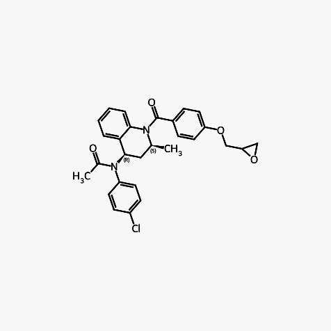 CC(=O)N(c1ccc(Cl)cc1)[C@@H]1C[C@H](C)N(C(=O)c2ccc(OCC3CO3)cc2)c2ccccc21